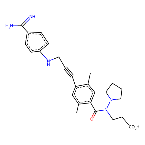 Cc1cc(C(=O)N(CCC(=O)O)N2CCCC2)c(C)cc1C#CCNc1ccc(C(=N)N)cc1